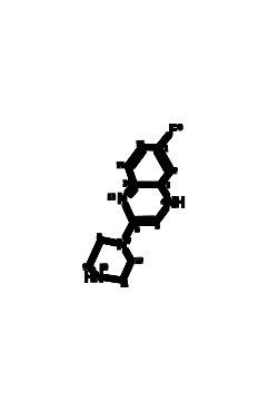 FC1=CC2NC=C(N3CCNCC3)N=C2C=C1